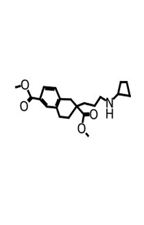 COC(=O)c1ccc2c(c1)CCC(CCCNC1CCC1)(C(=O)OC)C2